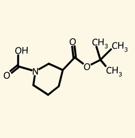 CC(C)(C)OC(=O)C1CCCN(C(=O)O)C1